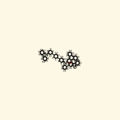 c1cc(-c2ccc(-c3ccc(N(c4ccc5c6ccccc6c6ccccc6c5c4)c4ccccc4-c4ccc5c(c4)oc4ccccc45)cc3)cc2)cc(-n2c3ccccc3c3ccccc32)c1